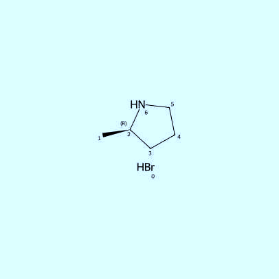 Br.C[C@@H]1CCCN1